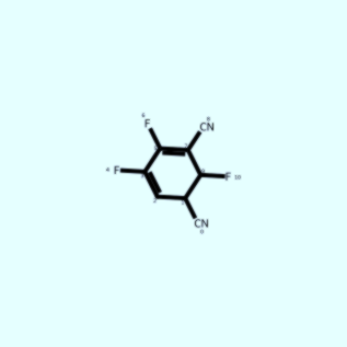 N#C[C]1C=C(F)C(F)=C(C#N)C1F